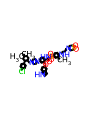 Cc1cc(S(=O)(=O)NC(=O)c2ccc(N3CCN(CC4=C(c5ccc(Cl)cc5)CC(C)(C)CC4)CC3)cc2Oc2ccc3[nH]ccc3c2)ccc1NCCCN1CCS(=O)(=O)CC1